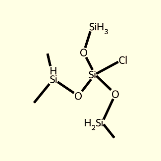 C[SiH2]O[Si](Cl)(O[SiH3])O[SiH](C)C